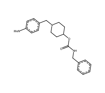 CNc1ccc(CN2CCC(OC(=O)NCc3ccccc3)CC2)cc1